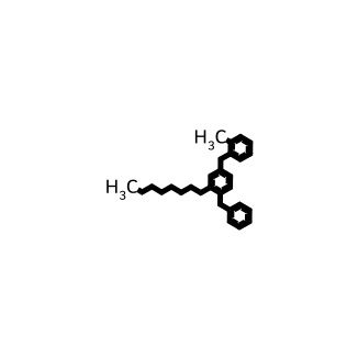 CCCCCCCCc1cc(Cc2ccccc2C)ccc1Cc1ccccc1